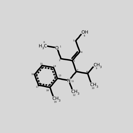 COC/C(=C\CO)C(C(C)C)N(C)c1ccccc1C